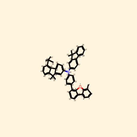 Cc1cccc2c1oc1c(-c3ccc(N(c4ccc5c(c4)C(C)(C)c4ccccc4-5)c4ccc5c(c4)C(C)(C)c4cccc(C(C)(C)C)c4-5)cc3)cccc12